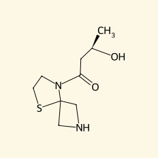 C[C@@H](O)CC(=O)N1CCSC12CNC2